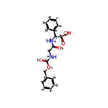 O=C(CNC(=O)OCc1ccccc1)NC(C(=O)O)c1ccccc1